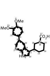 COc1ccc(-c2cnc3[nH]cc(C4CCCN(C(=O)O)C4)c3c2)cc1OC